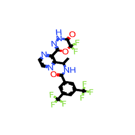 CC(NC(=O)c1cc(C(F)(F)F)cc(C(F)(F)F)c1)c1nccnc1C1=NNC(=O)C(F)(F)O1